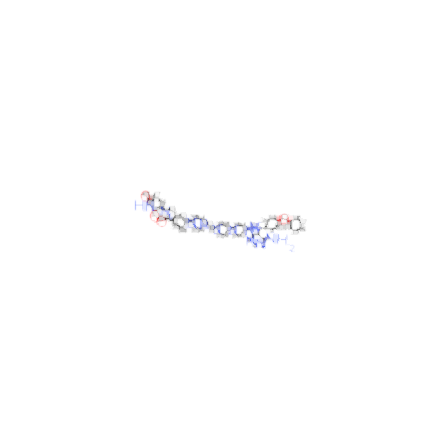 Nc1ncnc2c1c(-c1ccc(Oc3ccccc3)cc1)nn2C1CCN(C2CCN(CCN3CCN(c4ccc5c(c4)CN(C4CCC(=O)NC4=O)C5=O)CC3)CC2)CC1